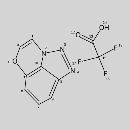 C1=Cn2nnc3cccc(c32)O1.O=C(O)C(F)(F)F